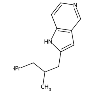 C[C](C)CC(C)Cc1cc2cnccc2[nH]1